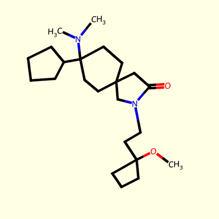 COC1(CCN2CC3(CCC(C4CCCC4)(N(C)C)CC3)CC2=O)CCC1